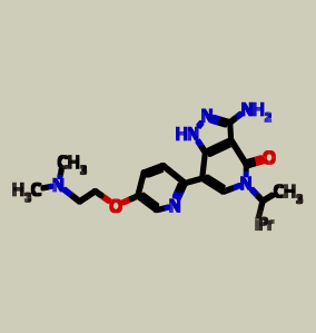 CC(C)C(C)n1cc(-c2ccc(OCCN(C)C)cn2)c2[nH]nc(N)c2c1=O